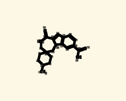 CN1CCC2(CC1)CNC(=O)c1cc3ccc(C(=O)O)cc3n1C2